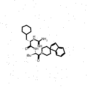 CC[C@H](C)[C@H](NC(=O)[C@H](CC1CCCCC1)NC(=N)N)C(=O)N1CCC2(C=Cc3ccccc32)CC1